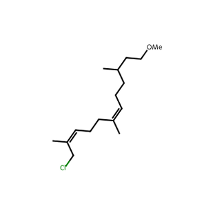 COCCC(C)CCC=C(C)CCC=C(C)CCl